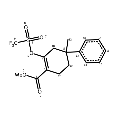 COC(=O)C1=C(OS(=O)(=O)C(F)(F)F)CC(C)(c2ccccc2)CC1